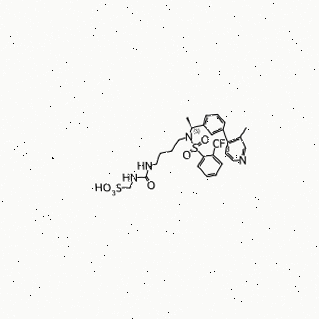 Cc1cnccc1-c1cccc([C@H](C)N(CCCCNC(=O)NCS(=O)(=O)O)S(=O)(=O)c2ccccc2C(F)(F)F)c1